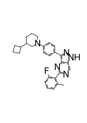 Cc1cccc(F)c1-c1ncc2[nH]nc(-c3ccc(N4CCCC(C5CCC5)C4)cc3)c2n1